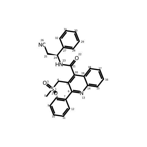 CS(=O)(=O)Cc1c(-c2ccccc2)nc2ccccc2c1C(=O)N[C@@H](CC#N)c1ccccc1